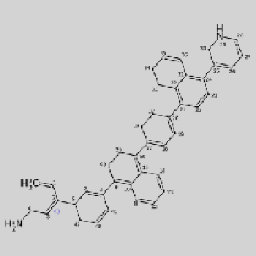 C=C/C(=C\CN)C1C=C(C2=c3ccccc3=C(C3=CC=C(c4ccc(C5=CC=CNC5)c5c4CCC=C5)CC3)CC2)C=CC1